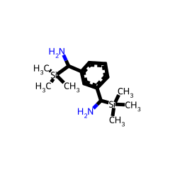 C[Si](C)(C)C(N)c1cccc(C(N)[Si](C)(C)C)c1